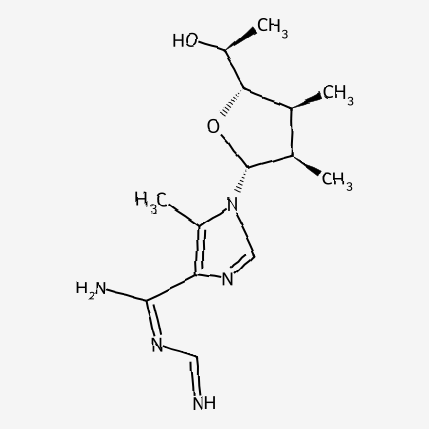 Cc1c(/C(N)=N\C=N)ncn1[C@@H]1O[C@H]([C@H](C)O)[C@@H](C)[C@H]1C